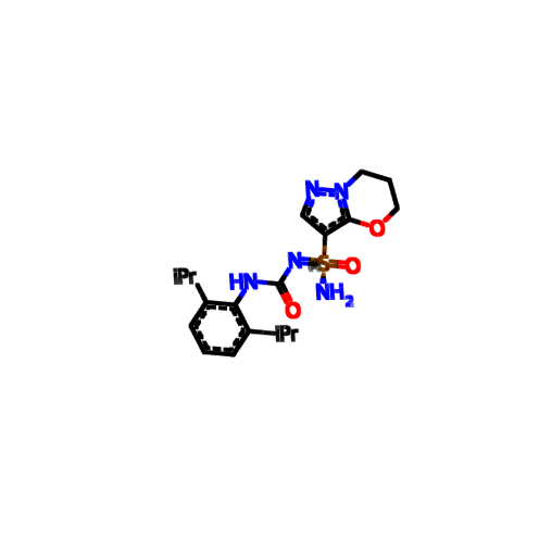 CC(C)c1cccc(C(C)C)c1NC(=O)N=[S@@](N)(=O)c1cnn2c1OCCC2